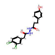 O=C(CCc1ccc(O)cc1)NNC(=O)Cc1ccc(Cl)c(Cl)c1